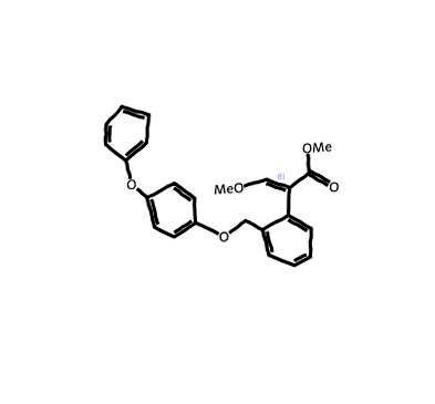 CO/C=C(/C(=O)OC)c1ccccc1COc1ccc(Oc2ccccc2)cc1